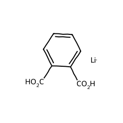 O=C(O)c1ccccc1C(=O)O.[Li]